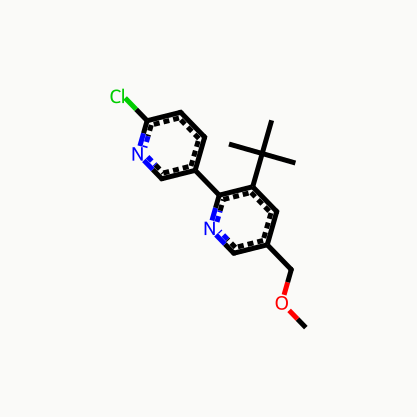 COCc1cnc(-c2ccc(Cl)nc2)c(C(C)(C)C)c1